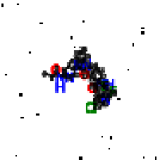 CCC(=O)Nc1cc(C)c(-n2c(=O)n(C[C@H]3CC[C@H](NC(=O)c4cc(Cl)cnc4C(F)F)CC3)c3ccccc32)cn1